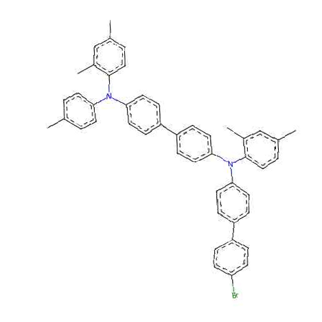 Cc1ccc(N(c2ccc(-c3ccc(N(c4ccc(-c5ccc(Br)cc5)cc4)c4ccc(C)cc4C)cc3)cc2)c2ccc(C)cc2C)cc1